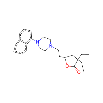 CCC1(CC)CC(CCN2CCN(c3cccc4ccccc34)CC2)OC1=O